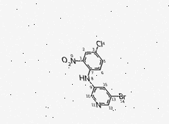 O=[N+]([O-])c1cc(Cl)ccc1Nc1cncc(Br)c1